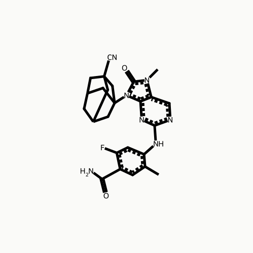 Cc1cc(C(N)=O)c(F)cc1Nc1ncc2c(n1)n(C13CC4CC(CC(C#N)(C4)C1)C3)c(=O)n2C